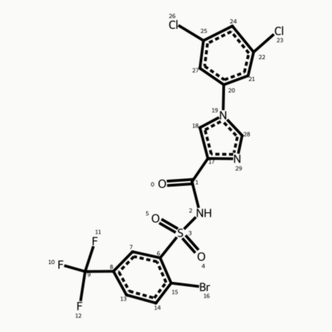 O=C(NS(=O)(=O)c1cc(C(F)(F)F)ccc1Br)c1cn(-c2cc(Cl)cc(Cl)c2)cn1